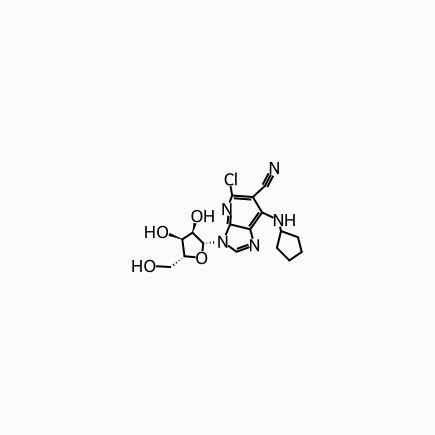 N#Cc1c(Cl)nc2c(ncn2[C@@H]2O[C@H](CO)[C@@H](O)[C@H]2O)c1NC1CCCC1